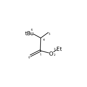 C=C(OCC)C(C)C(C)(C)C